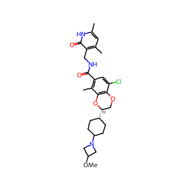 COC1CN(C2CCC([C@H]3COc4c(Cl)cc(C(=O)NCc5c(C)cc(C)[nH]c5=O)c(C)c4O3)CC2)C1